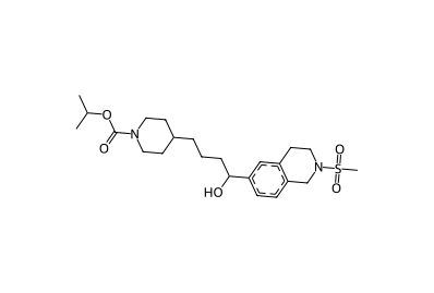 CC(C)OC(=O)N1CCC(CCCC(O)c2ccc3c(c2)CCN(S(C)(=O)=O)C3)CC1